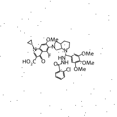 COc1cc(C(NNC(=O)c2ccccc2Cl)N2CCCC3CN(c4c(OC)cc5c(c4F)c(=O)c(C(=O)O)cn5C4CC4)CC32)cc(OC)c1OC